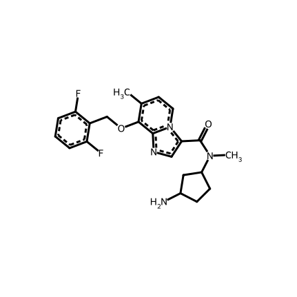 Cc1ccn2c(C(=O)N(C)C3CCC(N)C3)cnc2c1OCc1c(F)cccc1F